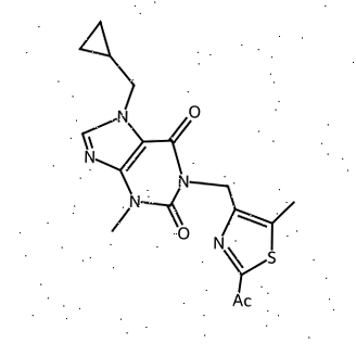 CC(=O)c1nc(Cn2c(=O)c3c(ncn3CC3CC3)n(C)c2=O)c(C)s1